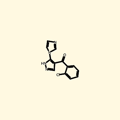 O=C(c1ccccc1Cl)c1cn[nH]c1-n1ccnc1